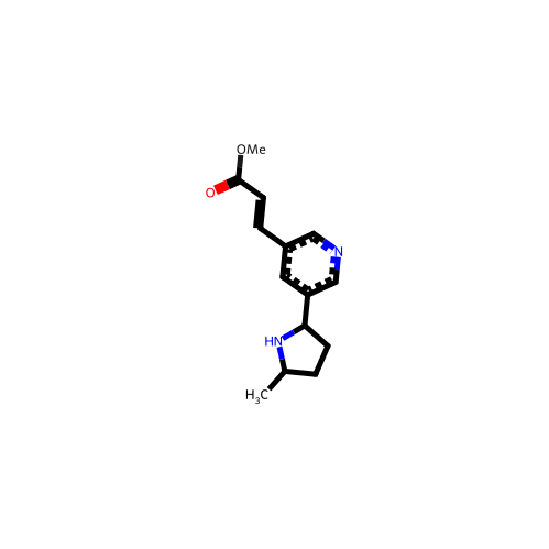 COC(=O)C=Cc1cncc(C2CCC(C)N2)c1